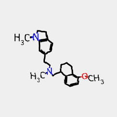 COc1cccc2c1CCCC2CN(C)CCc1ccc2c(c1)N(C)CC2